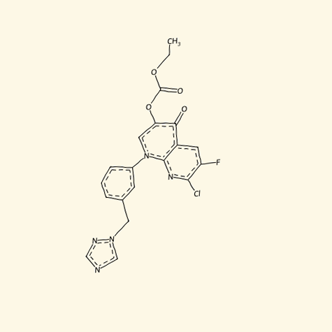 CCOC(=O)Oc1cn(-c2cccc(Cn3cncn3)c2)c2nc(Cl)c(F)cc2c1=O